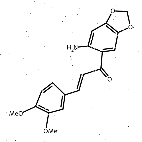 COc1ccc(/C=C/C(=O)c2cc3c(cc2N)OCO3)cc1OC